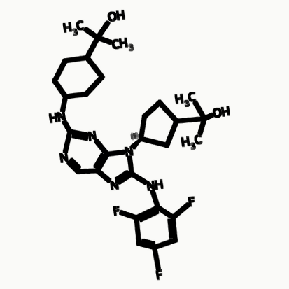 CC(C)(O)C1CCC(Nc2ncc3nc(Nc4c(F)cc(F)cc4F)n([C@H]4CCC(C(C)(C)O)C4)c3n2)CC1